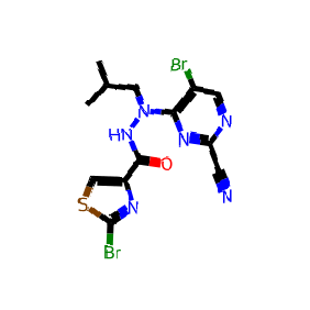 CC(C)CN(NC(=O)c1csc(Br)n1)c1nc(C#N)ncc1Br